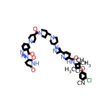 CC1(C)C(NC(=O)c2ccc(-c3cnn(C4CCN(CC5CCN(C(=O)C6CCN(c7ccc8nnn(C9CCC(=O)NC9=O)c(=O)c8c7)CC6)CC5)CC4)c3)nc2)C(C)(C)C1Oc1ccc(C#N)c(Cl)c1